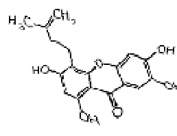 C=C(C)CCc1c(O)cc(O)c2c(=O)c3cc(O)c(O)cc3oc12